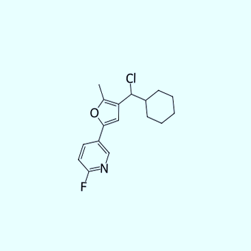 Cc1oc(-c2ccc(F)nc2)cc1C(Cl)C1CCCCC1